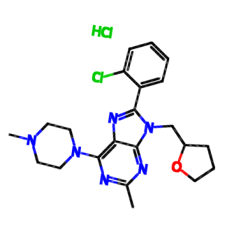 Cc1nc(N2CCN(C)CC2)c2nc(-c3ccccc3Cl)n(CC3CCCO3)c2n1.Cl